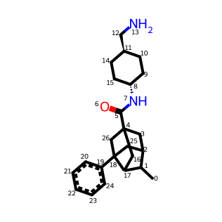 CC1C2CC3(C(=O)N[C@H]4CC[C@H](CN)CC4)CC1C(c1ccccc1)(C2)C3